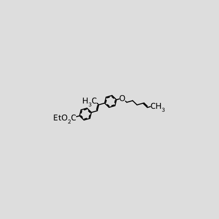 CC=CCCCOc1ccc(C(C)=Cc2ccc(C(=O)OCC)cc2)cc1